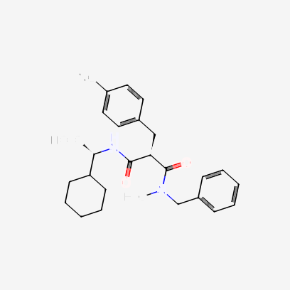 CN(Cc1ccccc1)C(=O)[C@H](Cc1ccc(C#N)cc1)C(=O)N[C@H](C(=O)O)C1CCCCC1